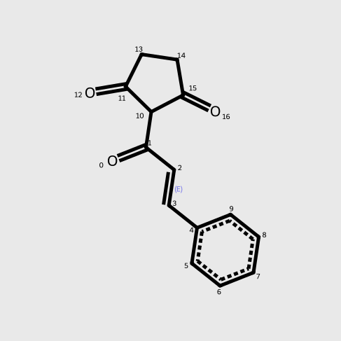 O=C(/C=C/c1ccccc1)C1C(=O)CCC1=O